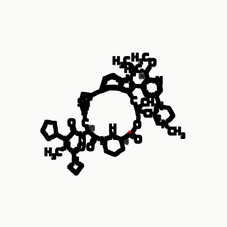 CCn1c(-c2cc(N3CCN(C)CC3)cnc2[C@H](C)OC)c2c3cc(ccc31)-c1csc(n1)C[C@H](NC(=O)[C@H](C1CCCC1)N(C)C(=O)N1CCC1)C(=O)N1CCC[C@](C=O)(COCC(C)(C)C2)N1